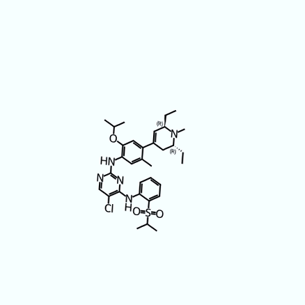 CC[C@@H]1CC(c2cc(OC(C)C)c(Nc3ncc(Cl)c(Nc4ccccc4S(=O)(=O)C(C)C)n3)cc2C)=C[C@@H](CC)N1C